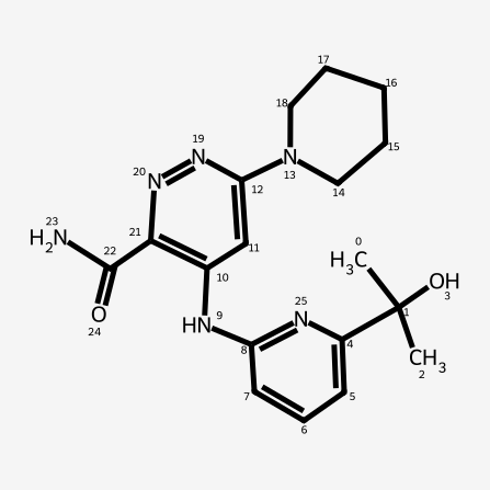 CC(C)(O)c1cccc(Nc2cc(N3CCCCC3)nnc2C(N)=O)n1